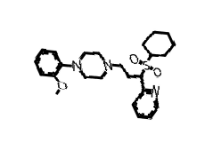 COc1ccccc1N1CCN(CCC(c2ccccn2)S(=O)(=O)C2CCCCC2)CC1